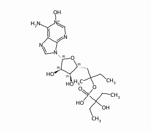 CCC(C)(C[C@H]1O[C@@H](n2cnc3c(N)[n+](O)cnc32)[C@H](O)[C@@H]1O)OP(=O)(O)C(O)(CC)CC